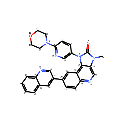 Cn1c(=O)n(-c2ccc(N3CCOCC3)nc2)c2c3cc(-c4cnc5ccccc5c4)ccc3ncc21